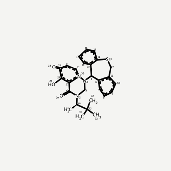 C[C@@H](N1CN(C2c3ccccc3CSc3ccccc32)n2ccc(=O)c(O)c2C1=O)C(C)(C)C